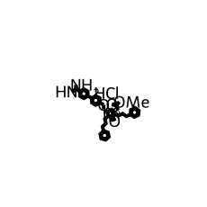 COC(=O)C[C@]1(CCCc2ccccc2)C[C@@H](COc2ccc(-c3ccc(C(=N)N)cc3)cc2)N(CCCc2ccccc2)C1=O.Cl